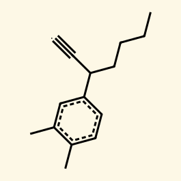 [C]#CC(CCCC)c1ccc(C)c(C)c1